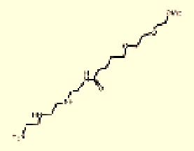 COCCOCCOCCCCC(=O)NCCNCCNCCN